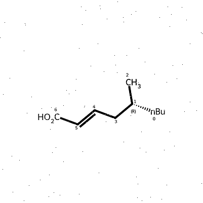 CCCC[C@@H](C)CC=CC(=O)O